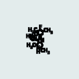 Cc1cc(-n2nc3c(c2-n2cc[nH]c2=O)[C@H](C)N[C@H](C)C3)cc(C)c1F